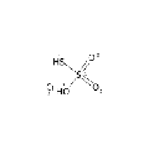 O=S(=O)(O)S.[Cr]